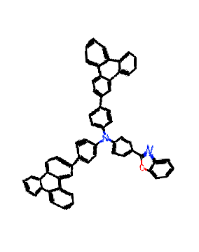 c1ccc2oc(-c3ccc(N(c4ccc(-c5ccc6c7ccccc7c7ccccc7c6c5)cc4)c4ccc(-c5ccc6c7ccccc7c7ccccc7c6c5)cc4)cc3)nc2c1